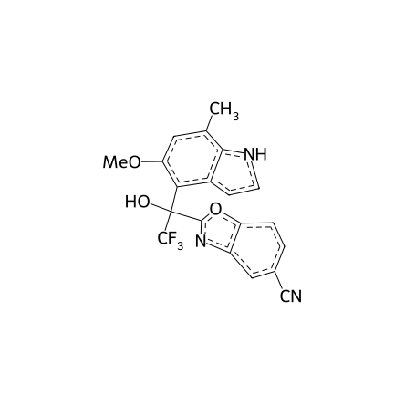 COc1cc(C)c2[nH]ccc2c1C(O)(c1nc2cc(C#N)ccc2o1)C(F)(F)F